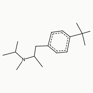 CC(C)N(C)C(C)Cc1ccc(C(C)(C)C)cc1